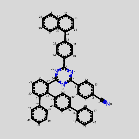 N#Cc1ccc(-c2nc(-c3ccc(-c4cccc5ccccc45)cc3)nc(-c3cccc(-c4ccccc4)c3-c3ccc(-c4ccccc4)cc3)n2)cc1